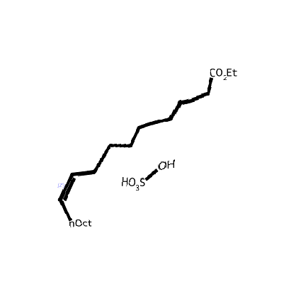 CCCCCCCC/C=C\CCCCCCCC(=O)OCC.O=S(=O)(O)O